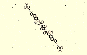 C=C(C)C(=O)OCCCCOc1ccc2cc(/C=C(\C#N)C(=O)O[C@H]3CO[C@H]4[C@@H]3OC[C@H]4OC(=O)/C(C#N)=C/c3ccc4cc(OCCCCOC(=O)C(=C)C)ccc4c3)ccc2c1